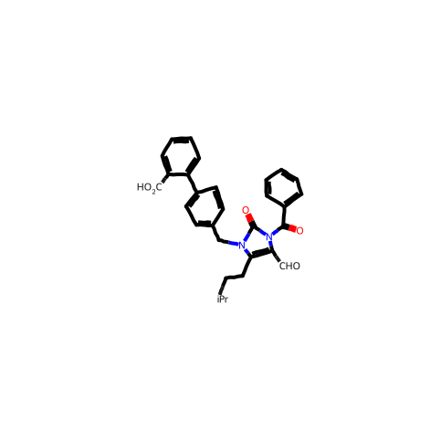 CC(C)CCc1c(C=O)n(C(=O)c2ccccc2)c(=O)n1Cc1ccc(-c2ccccc2C(=O)O)cc1